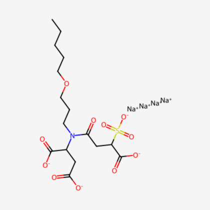 CCCCCOCCCN(C(=O)CC(C(=O)[O-])S(=O)(=O)[O-])C(CC(=O)[O-])C(=O)[O-].[Na+].[Na+].[Na+].[Na+]